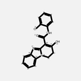 O=C(Nc1ccccc1Cl)C1=C(O)CCn2c1nc1ccccc12